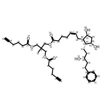 C#CCCCC(=O)OCC(C)(COC(=O)CCCC#C)COC(=O)CCC/C=C\C[C@@H]1[C@@H](CC[C@@H](O)CCc2ccccc2)[C@H](O)C[C@@H]1O